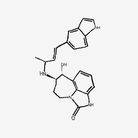 CC(/C=C/c1ccc2[nH]ccc2c1)N[C@@H]1CCn2c(=O)[nH]c3cccc(c32)[C@H]1O